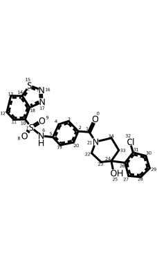 O=C(c1ccc(NS(=O)(=O)c2cccc3snnc23)cc1)N1CCC(O)(c2ccccc2Cl)CC1